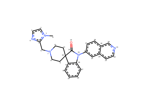 Cn1ccnc1CN1CCC2(CC1)C(=O)N(c1ccc3cnccc3c1)c1ccccc12